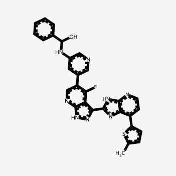 Cc1ccc(-c2ccnc3[nH]c(-c4n[nH]c5ncc(-c6cncc(NC(O)c7ccccc7)c6)c(F)c45)nc23)s1